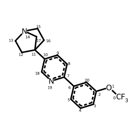 FC(F)(F)Oc1cccc(-c2ccc(C34CCN(CC3)C4)cn2)c1